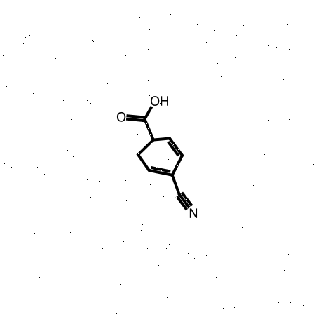 N#CC1=CCC(C(=O)O)C=C1